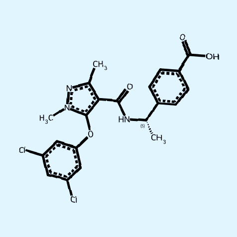 Cc1nn(C)c(Oc2cc(Cl)cc(Cl)c2)c1C(=O)N[C@@H](C)c1ccc(C(=O)O)cc1